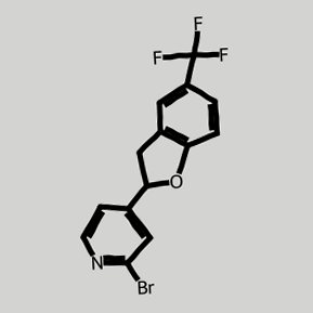 FC(F)(F)c1ccc2c(c1)CC(c1ccnc(Br)c1)O2